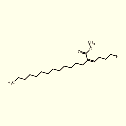 CCCCCCCCCCCCCC(=CCCCF)C(=O)OC